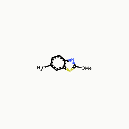 COc1nc2ccc(C)cc2s1